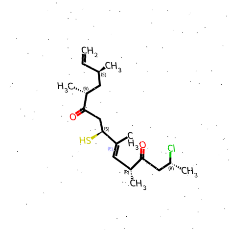 C=C[C@@H](C)C[C@@H](C)C(=O)C[C@H](S)/C(C)=C/[C@@H](C)C(=O)C[C@@H](C)Cl